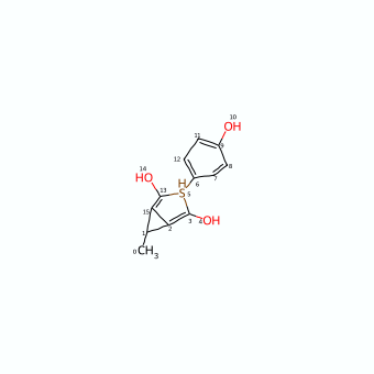 CC1C2=C(O)[SH](c3ccc(O)cc3)C(O)=C21